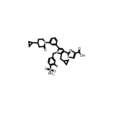 NS(=O)(=O)c1ccc(Cn2c(-c3cccc(N4CCC(C5CC5)CC4=O)c3)cc(-c3nc(C(=O)O)cs3)c2CC2CC2)cc1F